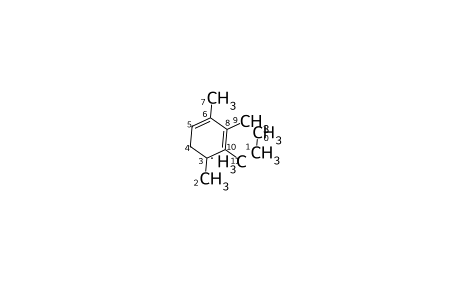 CC.C[C]1CC=C(C)C(C)=C1C